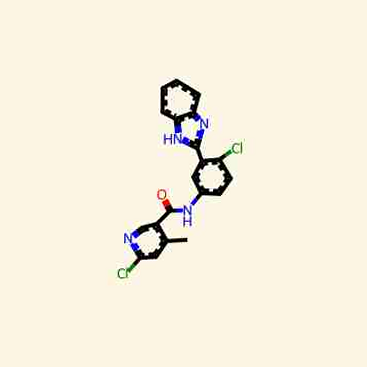 Cc1cc(Cl)ncc1C(=O)Nc1ccc(Cl)c(-c2nc3ccccc3[nH]2)c1